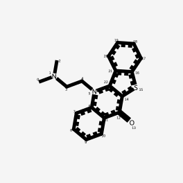 CN(C)CCn1c2ccccc2c(=O)c2sc3ccccc3c21